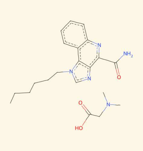 CCCCCCn1cnc2c(C(N)=O)nc3ccccc3c21.CN(C)CC(=O)O